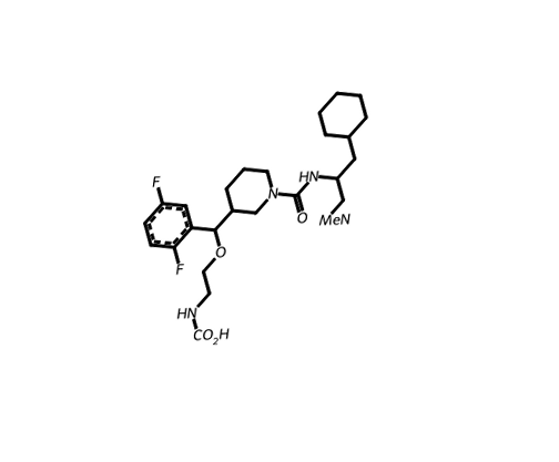 CNCC(CC1CCCCC1)NC(=O)N1CCCC(C(OCCNC(=O)O)c2cc(F)ccc2F)C1